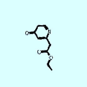 CCOC(=O)CC1=CC(=O)CC=N1